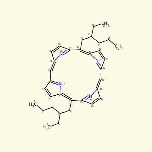 CCCC(CC)CC1=C2C=CC(=N2)C=C2C=CC(=N2)C(CC(CC)CCC)=C2C=CC(=N2)C=C2C=CC1=N2